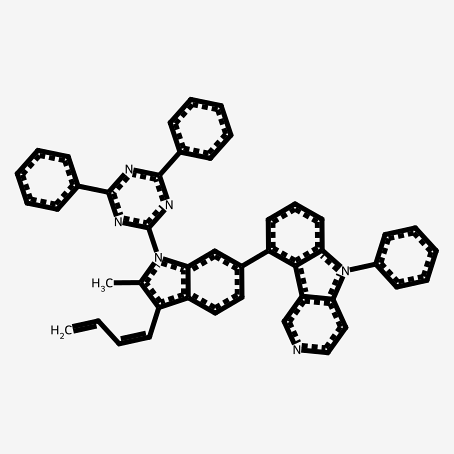 C=C/C=C\c1c(C)n(-c2nc(-c3ccccc3)nc(-c3ccccc3)n2)c2cc(-c3cccc4c3c3cnccc3n4-c3ccccc3)ccc12